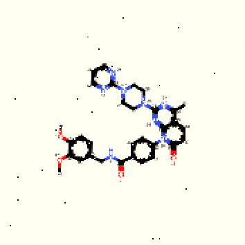 COc1ccc(CNC(=O)c2ccc(-n3c(=O)ccc4c(C)nc(N5CCN(c6ncccn6)CC5)nc43)cc2)cc1OC